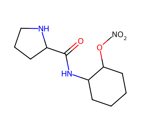 O=C(NC1CCCCC1O[N+](=O)[O-])C1CCCN1